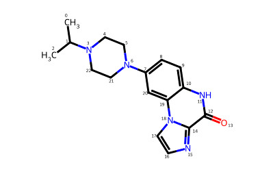 CC(C)N1CCN(c2ccc3[nH]c(=O)c4nccn4c3c2)CC1